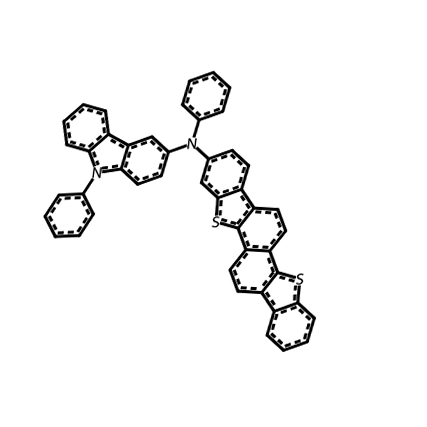 c1ccc(N(c2ccc3c(c2)sc2c3ccc3c2ccc2c4ccccc4sc23)c2ccc3c(c2)c2ccccc2n3-c2ccccc2)cc1